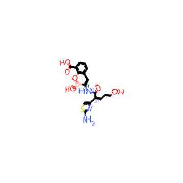 Nc1nc(/C(=C/CCO)C(=O)N[C@H]2Cc3cccc(C(=O)O)c3OB2O)cs1